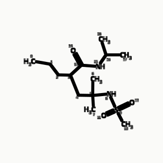 CCCC(CC(C)(C)NS(C)(=O)=O)C(=O)NC(C)C